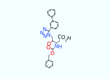 O=C(O)CC(NC(=O)OCc1ccccc1)C(=O)Cn1nnnc1-c1cccc(-c2ccccc2)c1